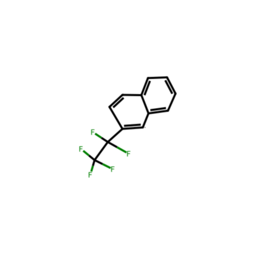 FC(F)(F)C(F)(F)c1[c]c2ccccc2cc1